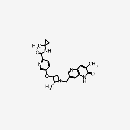 Cc1cc2ncc(CN3C[C@H](Oc4ccc(C(=O)NC5(C)CC5)nc4)[C@H]3C)cc2[nH]c1=O